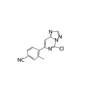 Cc1cc(C#N)ccc1-c1cc2ncnn2c(Cl)n1